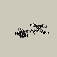 CCCCOCC(CNC(=S)CCCSCC1O[C@@H]2OCCCCCC1[C@H](O)C2O)(COCCCC)COCCCC